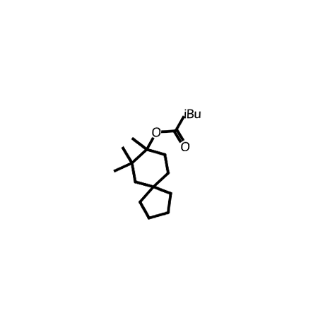 CCC(C)C(=O)OC1(C)CCC2(CCCC2)CC1(C)C